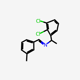 Cc1cccc(C=NC(C)c2cccc(Cl)c2Cl)c1